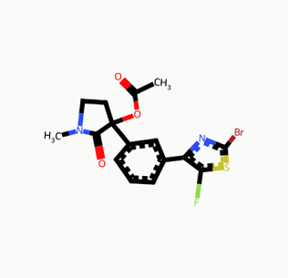 CC(=O)OC1(c2cccc(-c3nc(Br)sc3F)c2)CCN(C)C1=O